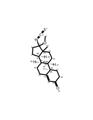 COC1(N=C=S)CC[C@@H]2[C@@H]3CCC4=CC(=O)CC[C@]4(C)[C@@H]3CCC21C